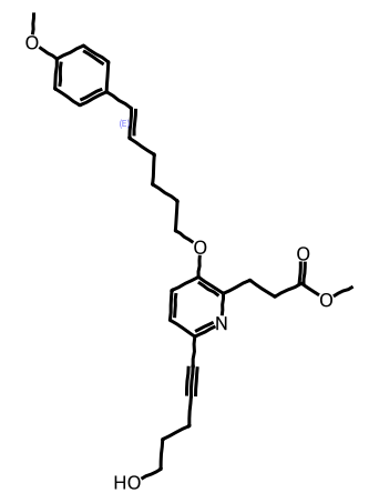 COC(=O)CCc1nc(C#CCCCO)ccc1OCCCC/C=C/c1ccc(OC)cc1